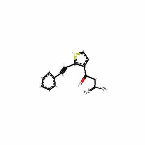 C=C(C)CC(=O)c1ccsc1C#Cc1ccccc1